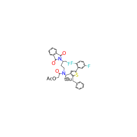 CC(=O)OCC(=O)N(CCC(CF)N1C(=O)c2ccccc2C1=O)[C@@H](c1cc(-c2cc(F)ccc2F)sc1Cc1ccccc1)C(C)(C)C